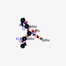 COCCOCCOCCN(C(=O)OC(C)(C)C)c1cc(COc2cc(N)c(C(=O)N3CCc4ccccc43)cc2OC)cc(COc2cc3c(cc2OC)C(=O)N2c4ccccc4C[C@H]2CN3)c1